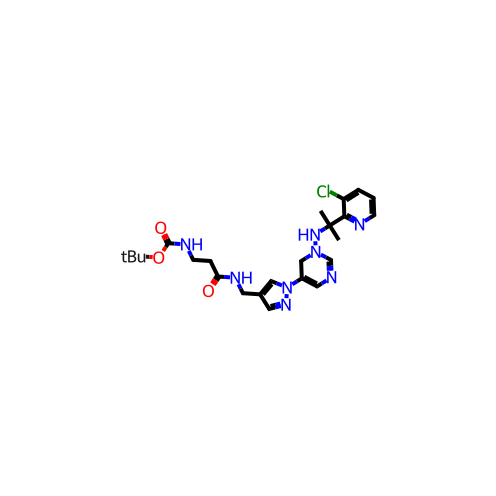 CC(C)(C)OC(=O)NCCC(=O)NCc1cnn(C2=CN=CN(NC(C)(C)c3ncccc3Cl)C2)c1